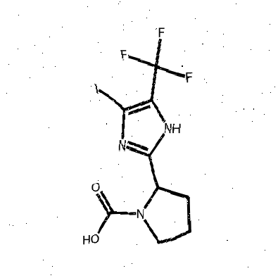 O=C(O)N1CCCC1c1nc(I)c(C(F)(F)F)[nH]1